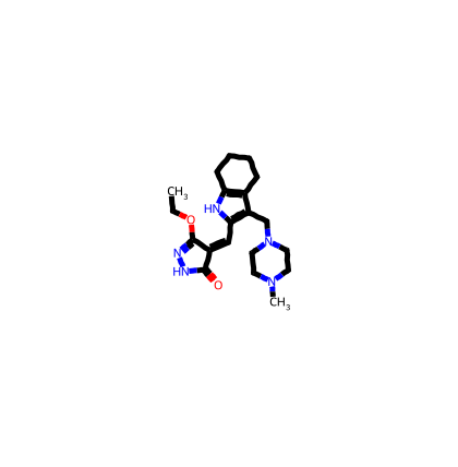 CCOC1=NNC(=O)/C1=C/c1[nH]c2c(c1CN1CCN(C)CC1)CCCC2